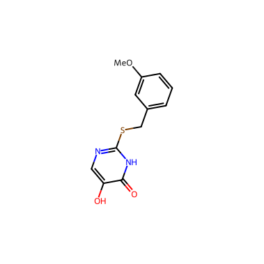 COc1cccc(CSc2ncc(O)c(=O)[nH]2)c1